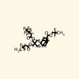 CC(F)(F)COC(=O)C12CC3CC(C1)C1(SCC(COC(=O)CC(C)(F)F)(COC(=O)CC(F)(F)C(F)(F)F)CS1)C(C3)C2